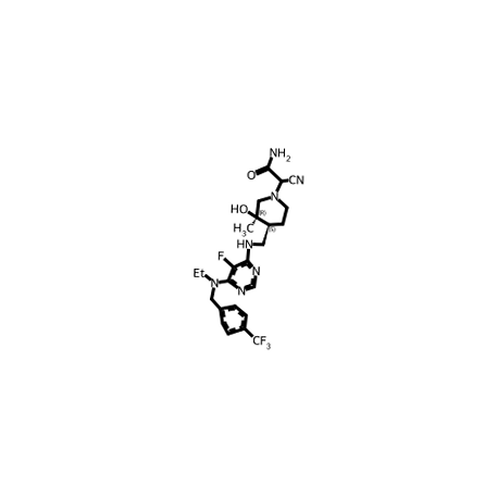 CCN(Cc1ccc(C(F)(F)F)cc1)c1ncnc(NC[C@@H]2CCN(C(C#N)C(N)=O)C[C@]2(C)O)c1F